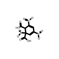 O=C(O)C1C([N+](=O)[O-])=CC([N+](=O)[O-])=CC1(C(=O)O)[N+](=O)[O-]